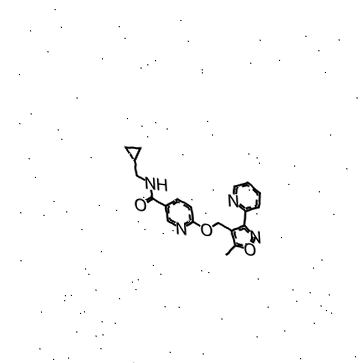 Cc1onc(-c2ccccn2)c1COc1ccc(C(=O)NCC2CC2)cn1